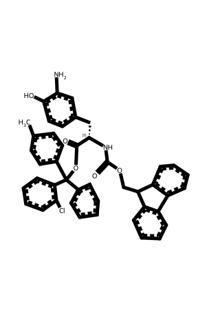 Cc1ccc(C(OC(=O)[C@H](Cc2ccc(O)c(N)c2)NC(=O)OCC2c3ccccc3-c3ccccc32)(c2ccccc2)c2ccccc2Cl)cc1